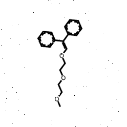 COCCOCCOC=C(c1ccccc1)c1ccccc1